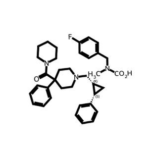 CN(Cc1ccc(F)cc1)C(=O)O.O=C(N1CCCCC1)C1(c2ccccc2)CCN(C[C@@H]2C[C@@H]2c2ccccc2)CC1